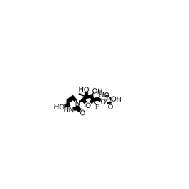 C[C@]1(O)[C@H](N2C=CC(O)NC2=O)O[C@](F)(COP(=O)(O)O)[C@H]1O